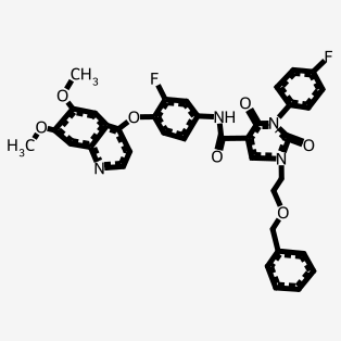 COc1cc2nccc(Oc3ccc(NC(=O)c4cn(CCOCc5ccccc5)c(=O)n(-c5ccc(F)cc5)c4=O)cc3F)c2cc1OC